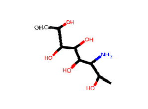 CC(O)C(N)C(O)C(O)C(O)C(O)C=O